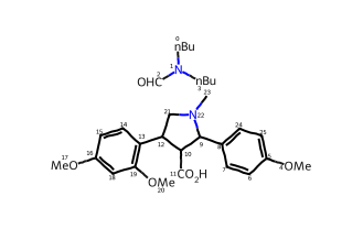 CCCCN(C=O)CCCC.COc1ccc(C2C(C(=O)O)C(c3ccc(OC)cc3OC)CN2C)cc1